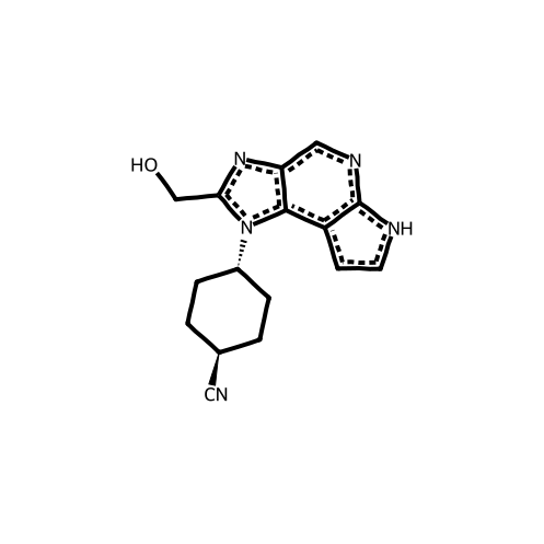 N#C[C@H]1CC[C@H](n2c(CO)nc3cnc4[nH]ccc4c32)CC1